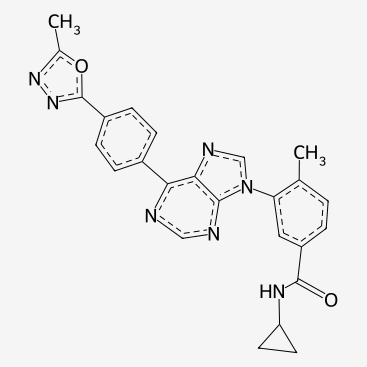 Cc1nnc(-c2ccc(-c3ncnc4c3ncn4-c3cc(C(=O)NC4CC4)ccc3C)cc2)o1